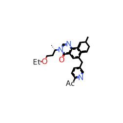 CCOCC[C@H](C)n1cnc2c3c(c(Cc4ccc(C(C)=O)nc4)cc2c1=O)=CCC(C)C=3